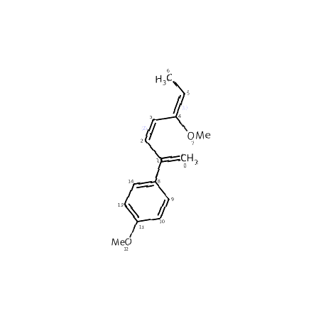 C=C(/C=C\C(=C/C)OC)c1ccc(OC)cc1